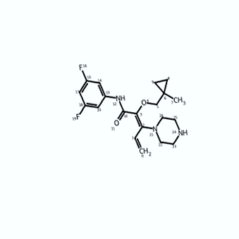 C=C/C(=C(/OCC1(C)CC1)C(=O)Nc1cc(F)cc(F)c1)N1CCNCC1